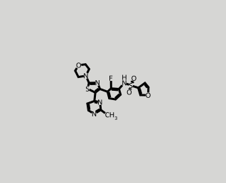 Cc1nccc(-c2sc(N3CCOCC3)nc2-c2cccc(NS(=O)(=O)c3ccoc3)c2F)n1